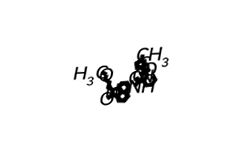 COCCCN1C(=O)c2cccc3c(NC(=O)C4CCCCN4S(=O)(=O)c4ccc(C)s4)ccc1c23